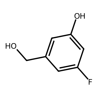 OCc1cc(O)cc(F)c1